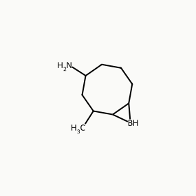 CC1CC(N)CCCC2BC12